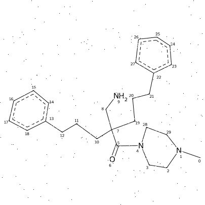 CN1CCN(C(=O)C(CN)(CCCc2ccccc2)CCCc2ccccc2)CC1